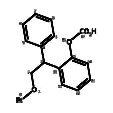 CCOCC(c1ccccc1)c1ccccc1OC(=O)O